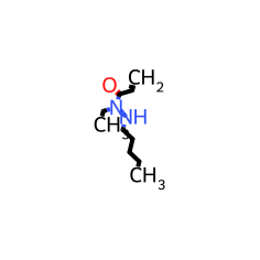 C=CC(=O)N(CC)NCCCCC